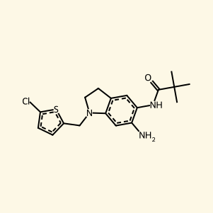 CC(C)(C)C(=O)Nc1cc2c(cc1N)N(Cc1ccc(Cl)s1)CC2